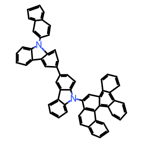 c1ccc2cc(-n3c4ccccc4c4cc(-c5ccc6c(c5)c5ccccc5n6-c5cc6c7ccccc7c7ccccc7c6c6c5ccc5ccccc56)ccc43)ccc2c1